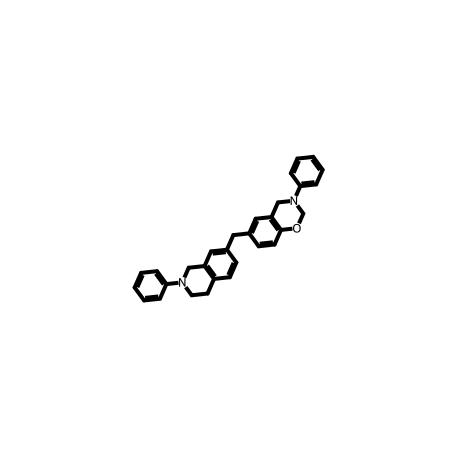 c1ccc(N2CCc3ccc(Cc4ccc5c(c4)CN(c4ccccc4)CO5)cc3C2)cc1